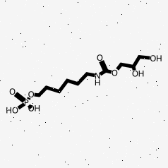 O=C(NCCCCCCOP(=O)(O)O)OCC(O)CO